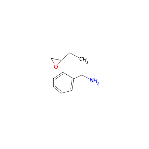 CCC1CO1.NCc1ccccc1